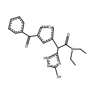 CCN(CC)C(=O)C(c1cccc(C(=O)c2ccccc2)c1)c1nc(S)n[nH]1